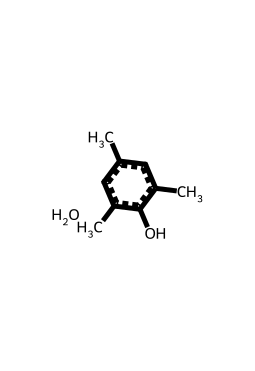 Cc1cc(C)c(O)c(C)c1.O